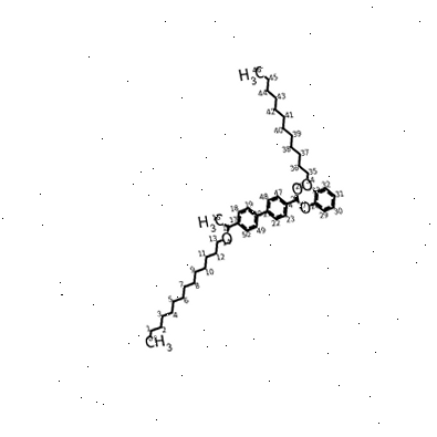 CCCCCCCCCCCCCCOC(C)c1ccc(-c2ccc(C(=O)Oc3ccccc3OCCCCCCCCCCCC)cc2)cc1